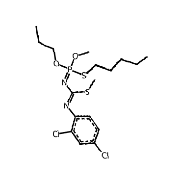 CCCCCSP(=NC(=Nc1ccc(Cl)cc1Cl)SC)(OC)OCCC